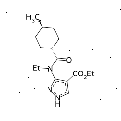 CCOC(=O)c1c[nH]nc1N(CC)C(=O)[C@H]1CC[C@H](C)CC1